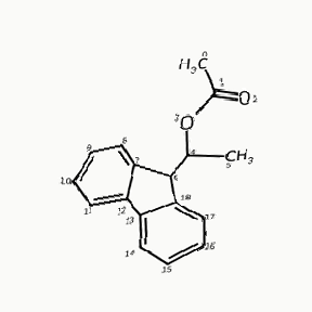 CC(=O)OC(C)C1c2ccccc2-c2ccccc21